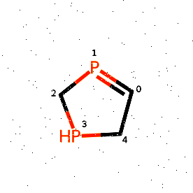 C1=PCPC1